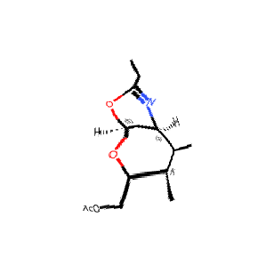 CC(=O)OCC1O[C@H]2OC(C)=N[C@H]2C(C)[C@H]1C